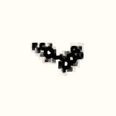 FC(F)(F)c1ccc(/C=C/c2nccc3cc4c(cc23)OCO4)cc1